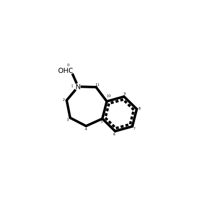 O=CN1CCCc2ccccc2C1